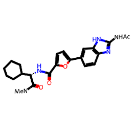 CNC(=O)[C@@H](NC(=O)c1ccc(-c2ccc3nc(NC(C)=O)[nH]c3c2)o1)C1CCCCC1